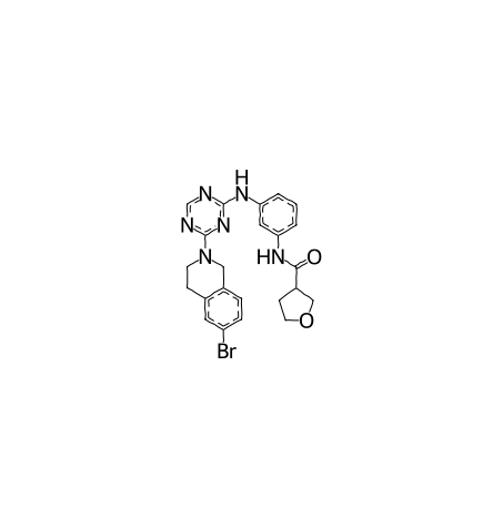 O=C(Nc1cccc(Nc2ncnc(N3CCc4cc(Br)ccc4C3)n2)c1)C1CCOC1